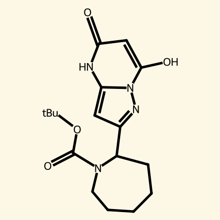 CC(C)(C)OC(=O)N1CCCCCC1c1cc2[nH]c(=O)cc(O)n2n1